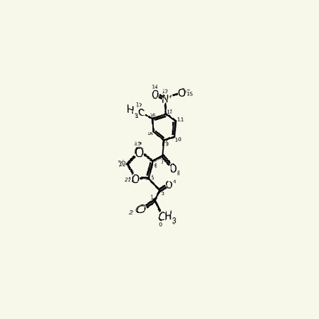 CC(=O)C(=O)C1=C(C(=O)c2ccc([N+](=O)[O-])c(C)c2)OCO1